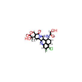 CC[C@@]1(O)C(=O)OCc2c1cc1n(c2=O)Cc2c-1nc1cc(F)c(Cl)c3c1c2C(NC(=O)CO)CC3